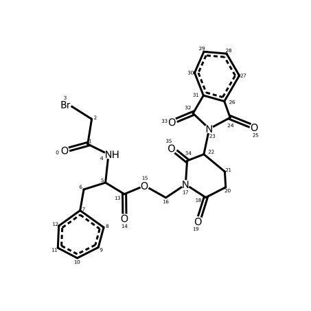 O=C(CBr)NC(Cc1ccccc1)C(=O)OCN1C(=O)CCC(N2C(=O)c3ccccc3C2=O)C1=O